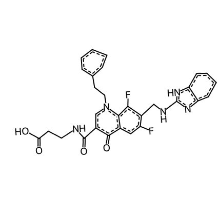 O=C(O)CCNC(=O)c1cn(CCc2ccccc2)c2c(F)c(CNc3nc4ccccc4[nH]3)c(F)cc2c1=O